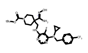 CC(C)(C)OC(=O)N1CCC(CNc2ncnc(N(Cc3ccc(C(F)(F)F)cc3)C3CC3)c2F)(/C(N)=N/O)CC1